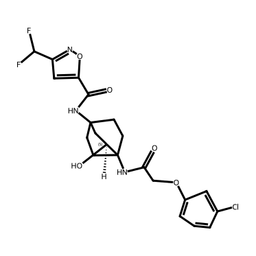 O=C(COc1cccc(Cl)c1)NC12CCC(NC(=O)c3cc(C(F)F)no3)(CC1)C[C@@H]2O